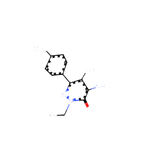 Cc1ccc(-c2nn(CC(C)C)c(=O)c(N)c2C)cc1